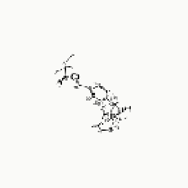 CCC(C)(C)C(=O)OCc1ccc(C(C)(O)C23CC4CC(CC(C4)C2)C3)cc1